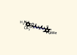 COc1cc(C)c(/C=C/C(C)=C/C=C/C(C)=C/C(=O)Oc2ccc(N)cc2C(F)(F)F)c(C)c1C